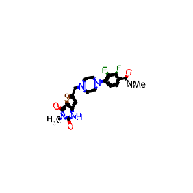 CNC(=O)c1ccc(N2CCN(Cc3cc4[nH]c(=O)n(C)c(=O)c4s3)CC2)c(F)c1F